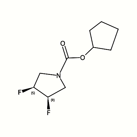 O=C(OC1CCCC1)N1C[C@@H](F)[C@@H](F)C1